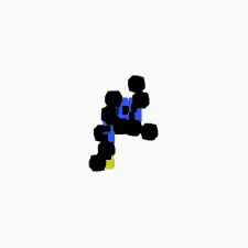 c1ccc(-c2cccc(-c3nc(-c4cccc(-c5ccccc5)c4)nc(-n4c5ccccc5c5ccc6c(c7ccccc7n6-c6cccc(-c7ccc8sc9ccccc9c8c7)n6)c54)n3)c2)cc1